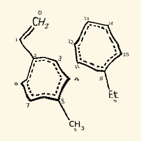 C=Cc1ccc(C)cc1.CCc1ccccc1